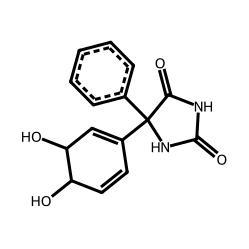 O=C1NC(=O)C(C2=CC(O)C(O)C=C2)(c2ccccc2)N1